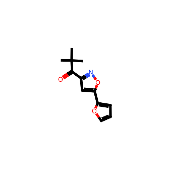 CC(C)(C)C(=O)c1cc(-c2ccco2)on1